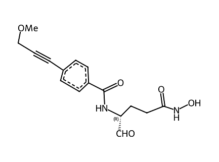 COCC#Cc1ccc(C(=O)N[C@@H](C=O)CCC(=O)NO)cc1